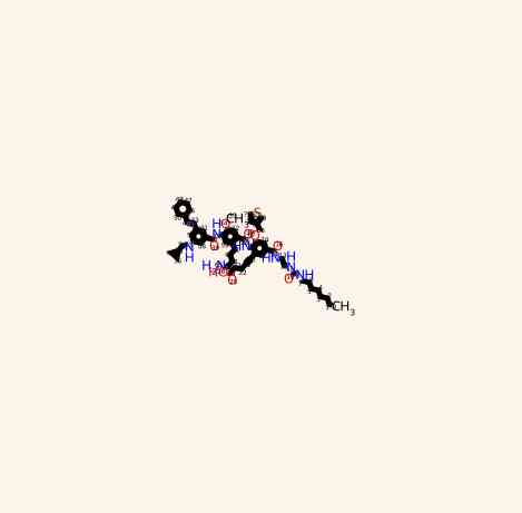 CCCCCCCCNC(=O)NCCNC(=O)c1cc(C#CCCC(=O)O)c(NC(=O)c2cc(OC)c(NC(=O)c3cc(/C=C/C4CCCCC4)cc(NCC4CC4)c3)cc2CCCCN)c(OCc2ccsc2)c1